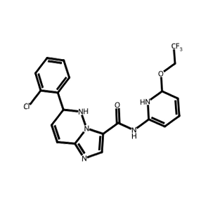 O=C(NC1=CC=CC(OCC(F)(F)F)N1)c1cnc2n1NC(c1ccccc1Cl)C=C2